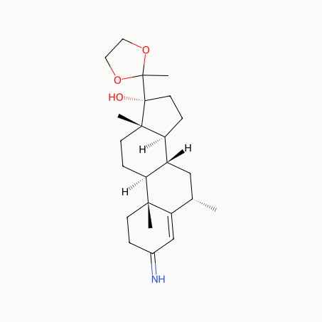 C[C@H]1C[C@@H]2[C@H](CC[C@@]3(C)[C@H]2CC[C@]3(O)C2(C)OCCO2)[C@@]2(C)CCC(=N)C=C12